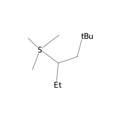 CCC(CC(C)(C)C)S(C)(C)C